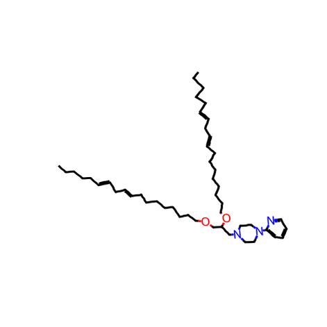 CCCCCC=CCC=CCCCCCCCCOCC(CN1CCN(c2ccccn2)CC1)OCCCCCCCCC=CCC=CCCCCC